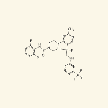 Cc1ncc(C(F)(F)CNc2ccnc(C(F)(F)F)n2)c(C2CCN(C(=O)Nc3c(F)cccc3F)CC2)n1